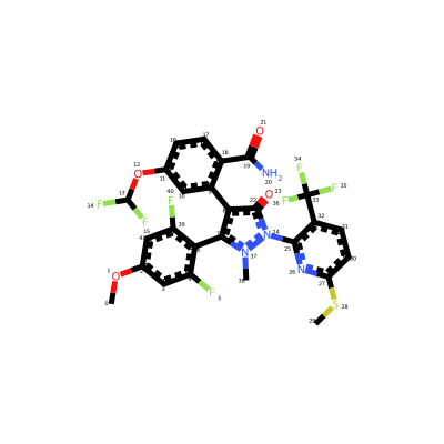 COc1cc(F)c(-c2c(-c3cc(OC(F)F)ccc3C(N)=O)c(=O)n(-c3nc(SC)ccc3C(F)(F)F)n2C)c(F)c1